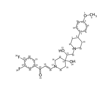 COc1ccc(C2CCN(CC(O)C3(O)CCN(C=CC(=O)c4ccc(F)c(F)c4)CC3)CC2)cc1